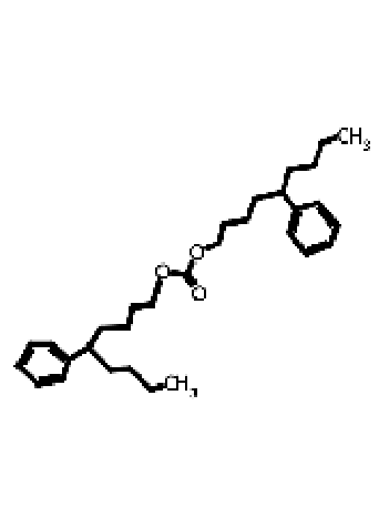 CCCCC(CCCCOC(=O)OCCCCC(CCCC)c1ccccc1)c1ccccc1